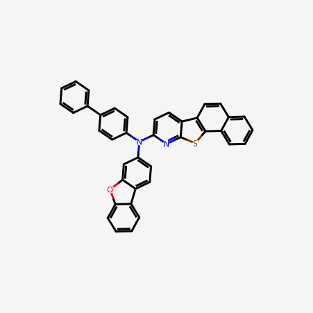 c1ccc(-c2ccc(N(c3ccc4c(c3)oc3ccccc34)c3ccc4c(n3)sc3c5ccccc5ccc43)cc2)cc1